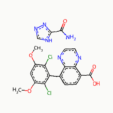 COc1cc(OC)c(Cl)c(-c2ccc(C(=O)O)c3nccnc23)c1Cl.NC(=O)c1nnc[nH]1